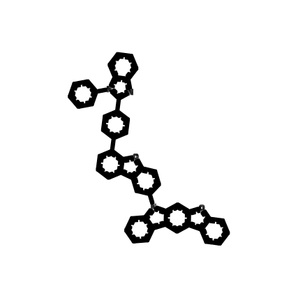 c1ccc(-n2c(-c3ccc(-c4cccc5c4oc4ccc(-n6c7ccccc7c7cc8c(cc76)oc6ccccc68)cc45)cc3)nc3ccccc32)cc1